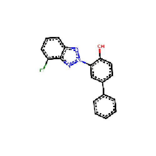 Oc1ccc(-c2ccccc2)cc1-n1nc2cccc(Cl)c2n1